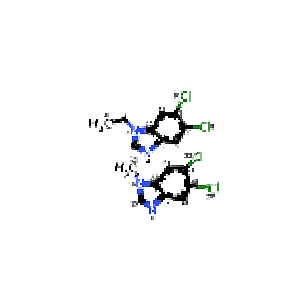 CCn1cnc2cc(Cl)c(Cl)cc21.Cn1cnc2cc(Cl)c(Cl)cc21